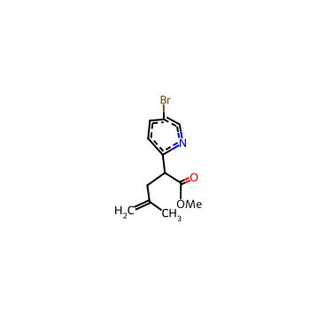 C=C(C)CC(C(=O)OC)c1ccc(Br)cn1